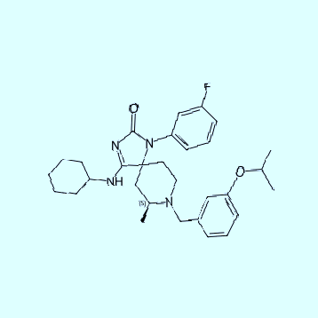 CC(C)Oc1cccc(CN2CCC3(C[C@@H]2C)C(NC2CCCCC2)=NC(=O)N3c2cccc(F)c2)c1